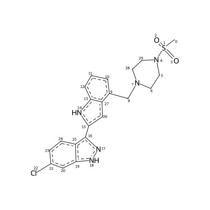 CS(=O)(=O)N1CCN(Cc2cccc3[nH]c(-c4n[nH]c5cc(Cl)ccc45)cc23)CC1